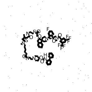 Cc1cc(N(C)CCCCCC(=O)N(C)CCN2CCC(OC(=O)Nc3ccccc3-c3ccccc3)CC2)sc1C(=O)N(C)CCN(C)C(=O)CO[C@H]1Cc2ccccc2C12CCN(CC[C@]1(c3ccc(F)cc3)CN(C(=O)c3cc(C(F)(F)F)cc(C(F)(F)F)c3)CO1)CC2